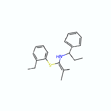 CCc1ccccc1SC(NC(CC)c1ccccc1)=C(C)C